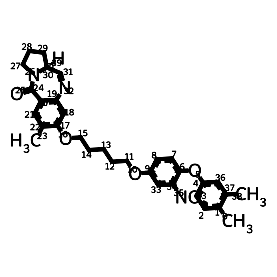 Cc1ccc(Oc2ccc(OCCCCCOc3cc4c(cc3C)C(=O)N3CCC[C@H]3C=N4)cc2[N+](=O)[O-])cc1C